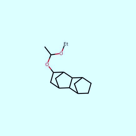 CCOC(C)OC1CC2CC1C1C3CCC(C3)C21